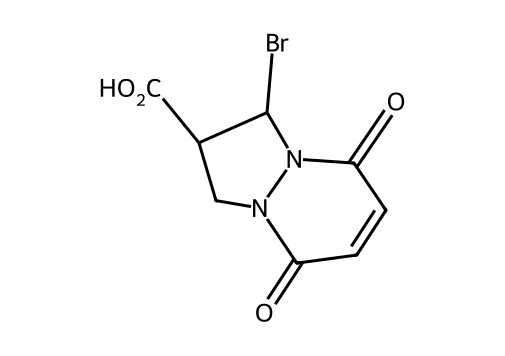 O=C(O)C1Cn2c(=O)ccc(=O)n2C1Br